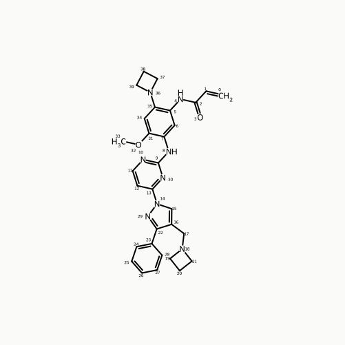 C=CC(=O)Nc1cc(Nc2nccc(-n3cc(CN4CCC4)c(-c4ccccc4)n3)n2)c(OC)cc1N1CCC1